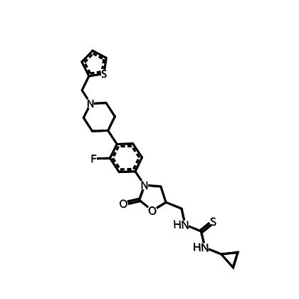 O=C1OC(CNC(=S)NC2CC2)CN1c1ccc(C2CCN(Cc3cccs3)CC2)c(F)c1